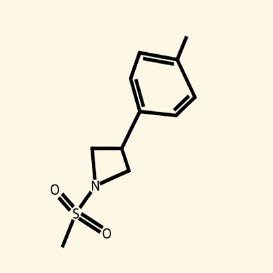 Cc1ccc(C2CN(S(C)(=O)=O)C2)cc1